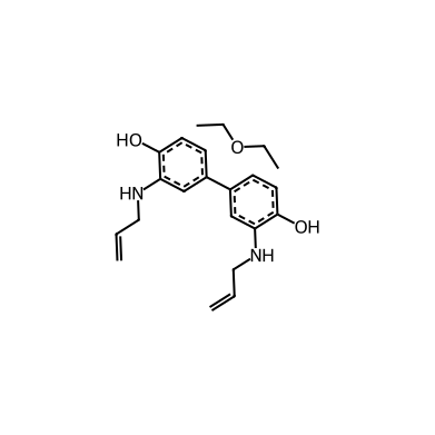 C=CCNc1cc(-c2ccc(O)c(NCC=C)c2)ccc1O.CCOCC